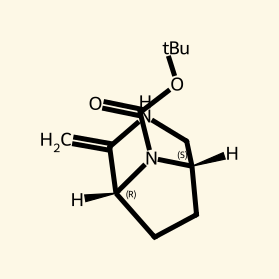 C=C1NC[C@@H]2CC[C@H]1N2C(=O)OC(C)(C)C